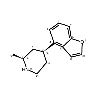 C[C@H]1C[C@@H](c2cccc3occc23)CCN1